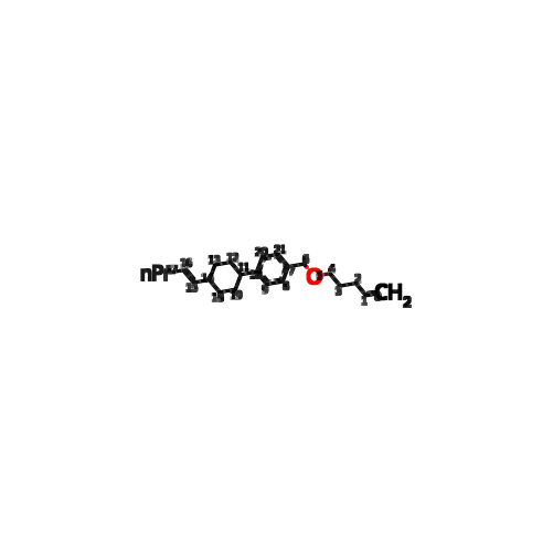 C=CCCCOCc1ccc(C2CCC(C=CCCC)CC2)cc1